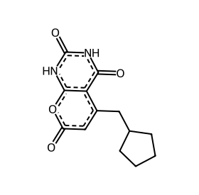 O=c1[nH]c(=O)c2c(CC3CCCC3)cc(=O)oc2[nH]1